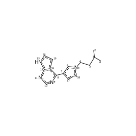 CC(C)CCn1cc(-c2ncnc3[nH]ccc23)cn1